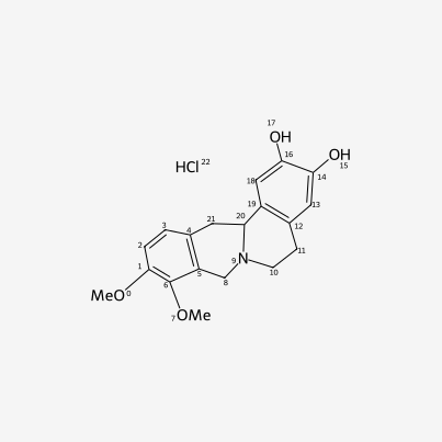 COc1ccc2c(c1OC)CN1CCc3cc(O)c(O)cc3C1C2.Cl